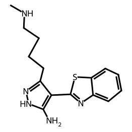 CNCCCCc1n[nH]c(N)c1-c1nc2ccccc2s1